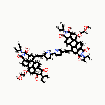 CCC(CC)C1C(=O)c2ccc3c4c(C#Cc5ccc(-c6ccc(C#Cc7cc8c9c(ccc%10c%11c(OCCOC)cc%12c%13c(ccc(c7c9%10)c%13%11)C(=O)N(C(CC)CC)C%12=O)C(=O)N(C(CC)CC)C8=O)cn6)nc5)cc5c6c(ccc(c7c(OCCOC)cc(c2c37)C1=O)c64)C(=O)N(C(CC)CC)C5=O